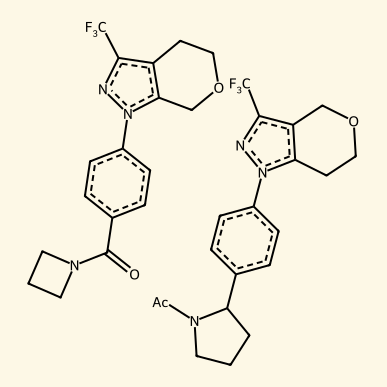 CC(=O)N1CCCC1c1ccc(-n2nc(C(F)(F)F)c3c2CCOC3)cc1.O=C(c1ccc(-n2nc(C(F)(F)F)c3c2COCC3)cc1)N1CCC1